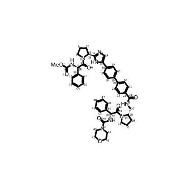 COC(=O)N[C@@H](C(=O)N1CCC[C@H]1c1ncc(-c2ccc(-c3ccc(C(=O)NC[C@@H]4CCCN4C(=O)[C@H](NC(=O)N4CCOCC4)c4ccccc4)cc3)cc2)[nH]1)c1ccccc1